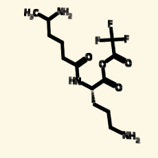 CC(N)CCCC(=O)N[C@@H](CCCN)C(=O)OC(=O)C(F)(F)F